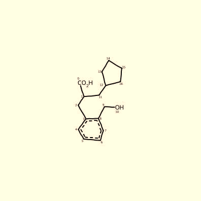 O=C(O)C(Cc1ccccc1CO)CC1CCCC1